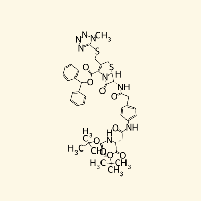 Cn1nnnc1SCC1=C(C(=O)OC(c2ccccc2)c2ccccc2)N2C(=O)[C@@H](NC(=O)Cc3ccc(NC(=O)C[C@@H](NC(=O)OC(C)(C)C)C(=O)OC(C)(C)C)cc3)[C@@H]2SC1